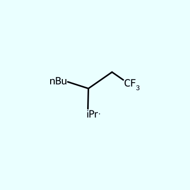 CCCCC(CC(F)(F)F)[C](C)C